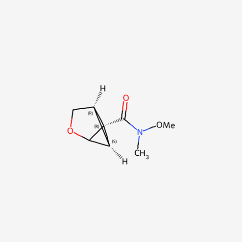 CON(C)C(=O)[C@]12C3OC[C@@H]1[C@H]32